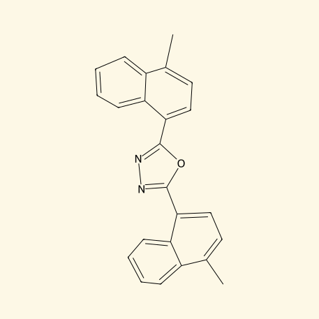 Cc1ccc(-c2nnc(-c3ccc(C)c4ccccc34)o2)c2ccccc12